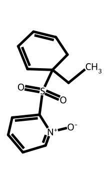 CCC1(S(=O)(=O)c2cccc[n+]2[O-])C=CC=CC1